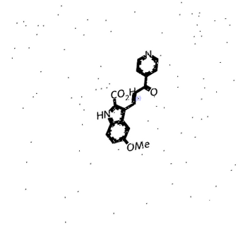 COc1ccc2[nH]c(C(=O)O)c(/C=C/C(=O)c3ccncc3)c2c1